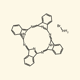 [Br][InH2].c1ccc2c(c1)-c1nc-2nc2[nH]c(nc3nc(nc4[nH]c(n1)c1ccccc41)-c1ccccc1-3)c1ccccc21